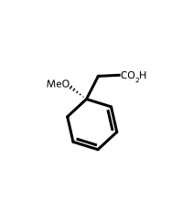 CO[C@]1(CC(=O)O)C=CC=CC1